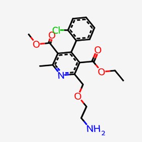 CCOC(=O)c1c(COCCN)nc(C)c(C(=O)OC)c1-c1ccccc1Cl